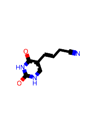 N#CCC=Cc1c[nH]c(=O)[nH]c1=O